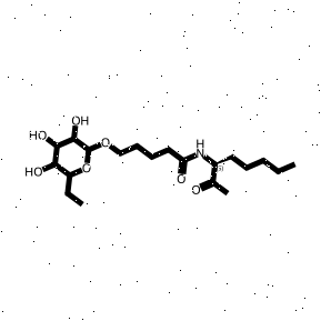 CCCCC[C@H](NC(=O)CCCCOC1OC(CC)C(O)C(O)C1O)C(C)=O